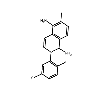 Cc1ccc2c(c1N)C=CN(c1cc(Cl)ccc1F)C2N